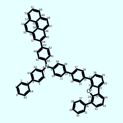 c1ccc(-c2ccc(N(c3ccc(-c4ccc(-c5cccc6c5oc5c(-c7ccccc7)cccc56)cc4)cc3)c3ccc(-c4cc5ccc6cccc7ccc(c4)c5c67)cc3)cc2)cc1